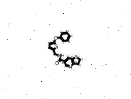 O=C(NCc1ccc(Oc2ccccc2)s1)c1cnc2c(c1)SCC2